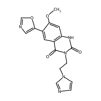 COc1cc2[nH]c(=O)n(CCn3ccnc3)c(=O)c2cc1-c1cnco1